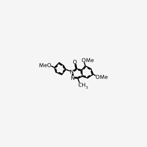 COc1ccc(-n2nc(C)c3cc(OC)cc(OC)c3c2=O)cc1